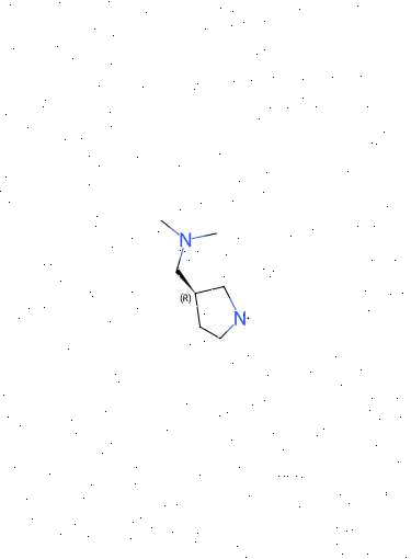 CN(C)C[C@@H]1CC[N]C1